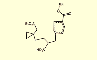 CCOC(=O)CC1(CCC(Cc2ccc(C(=O)OC(C)(C)C)cc2)C(=O)O)CC1